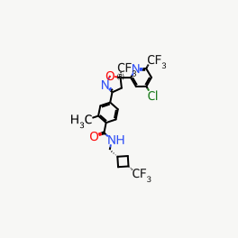 Cc1cc(C2=NO[C@](c3cc(Cl)cc(C(F)(F)F)n3)(C(F)(F)F)C2)ccc1C(=O)NC[C@H]1C[C@@H](C(F)(F)F)C1